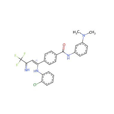 CN(C)c1cccc(NC(=O)c2ccc(/C(=C/C(=N)C(F)(F)F)Nc3ccccc3Cl)cc2)c1